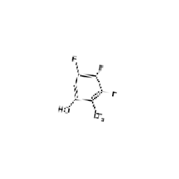 Oc1cc(F)c(F)c(F)c1C(F)(F)F